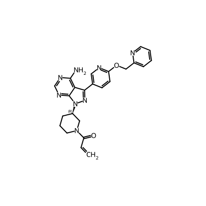 C=CC(=O)N1CCC[C@@H](n2nc(-c3ccc(OCc4ccccn4)nc3)c3c(N)ncnc32)C1